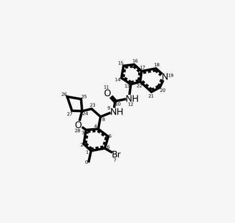 Cc1cc2c(cc1Br)C(NC(=O)Nc1cccc3cnccc13)CC1(CCC1)O2